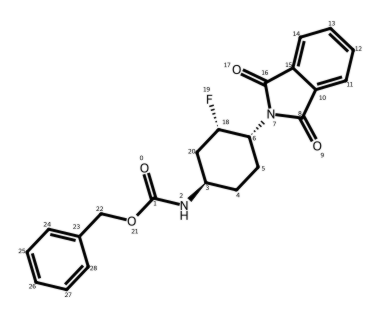 O=C(N[C@@H]1CC[C@@H](N2C(=O)c3ccccc3C2=O)[C@@H](F)C1)OCc1ccccc1